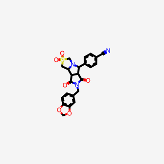 N#Cc1ccc(C2C3C(=O)N(Cc4ccc5c(c4)OCO5)C(=O)C3C3CS(=O)(=O)CN32)cc1